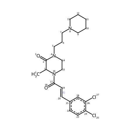 CC1C(=O)N(CCCN2CCCCC2)CCN1C(=O)/C=C/c1ccc(Cl)c(Cl)c1